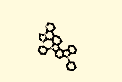 c1ccc(-n2c3ccccc3c3c4c5ccc6c7cccnc7n7ccnc7c6c5n(-c5ccccc5)c4ccc32)cc1